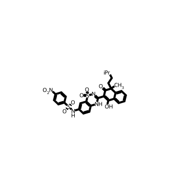 CC(C)CCC1(C)C(=O)C(C2=NS(=O)(=O)c3cc(NS(=O)(=O)c4ccc([N+](=O)[O-])cc4)ccc3N2)=C(O)c2ccccc21